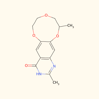 Cc1nc2cc3c(cc2c(=O)[nH]1)OCCOCC(C)O3